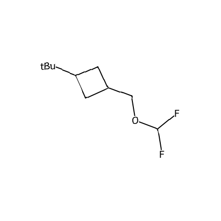 CC(C)(C)C1CC(COC(F)F)C1